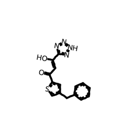 O=C(C=C(O)c1nn[nH]n1)c1cc(Cc2ccccc2)cs1